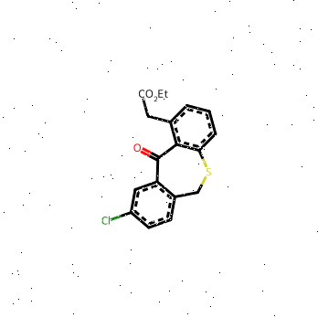 CCOC(=O)Cc1cccc2c1C(=O)c1cc(Cl)ccc1CS2